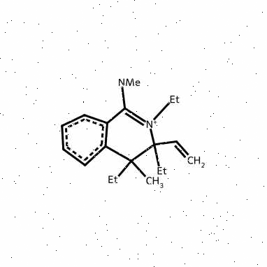 C=CC1(CC)[N+](CC)=C(NC)c2ccccc2C1(C)CC